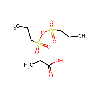 CCC(=O)O.CCCS(=O)(=O)OS(=O)(=O)CCC